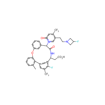 Cc1cccc2c1-c1cc(c(F)c(C(F)(F)F)c1)C(CC(=O)O)NC(=O)C(n1cc(CCN3CC(F)C3)c(C(F)(F)F)cc1=O)c1cccc(c1)O2